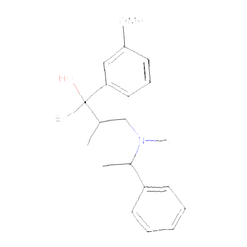 CCC(O)(c1cccc(OC)c1)C(C)CN(C)C(C)c1ccccc1